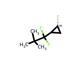 CC(C)(C)C(F)(F)C1C[C@H]1F